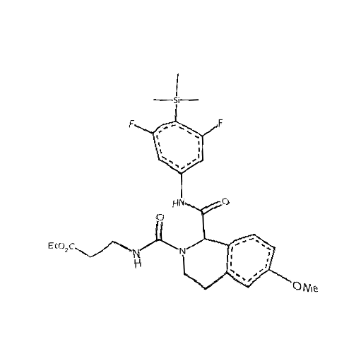 CCOC(=O)CCNC(=O)N1CCc2cc(OC)ccc2C1C(=O)Nc1cc(F)c([Si](C)(C)C)c(F)c1